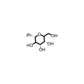 CC(C)[C@@H]1OC(CO)[C@H](O)[C@H](O)C1O